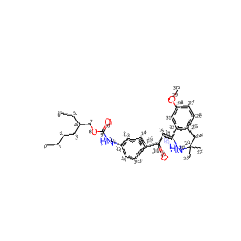 CCCCC(CC)COC(=O)Nc1ccc(C(=O)/C=C2\NC(C)(C)Cc3ccc(OC)cc32)cc1